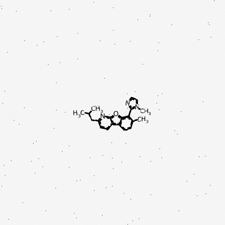 Cc1ccc2c(oc3nc(CC(C)C)ccc32)c1-c1nccn1C